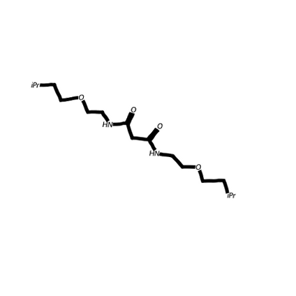 CC(C)CCOCCNC(=O)CC(=O)NCCOCCC(C)C